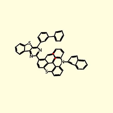 c1ccc(-c2cccc(-c3nc(-c4ccc5c6c(cccc46)-c4c(cccc4N(c4ccccc4)c4ccc6ccccc6c4)S5)nc4c3sc3ccccc34)c2)cc1